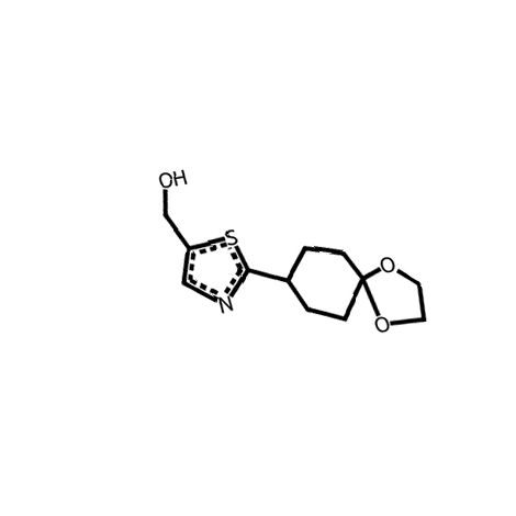 OCc1cnc(C2CCC3(CC2)OCCO3)s1